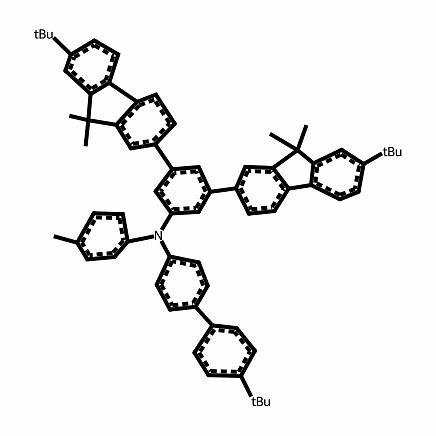 Cc1ccc(N(c2ccc(-c3ccc(C(C)(C)C)cc3)cc2)c2cc(-c3ccc4c(c3)C(C)(C)c3cc(C(C)(C)C)ccc3-4)cc(-c3ccc4c(c3)C(C)(C)c3cc(C(C)(C)C)ccc3-4)c2)cc1